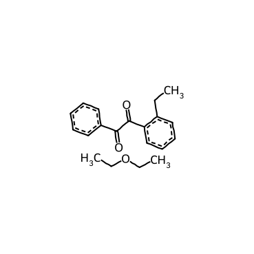 CCOCC.CCc1ccccc1C(=O)C(=O)c1ccccc1